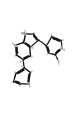 Clc1cc(-c2c[nH]c3ncc(-c4cccnc4)cc23)ccn1